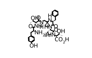 CC(C)C[C@H](NC(=O)[C@H](Cc1ccccc1)NC(=O)CNC(=O)[C@H](NC(=O)[C@@H](N)Cc1ccc(O)cc1)[C@H](C)O)C(=O)N[C@@H](C(=O)O)[C@@H](C)O